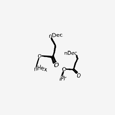 CCCCCCCCCCCC(=O)OC(C)C.CCCCCCCCCCCC(=O)OCCCCCC